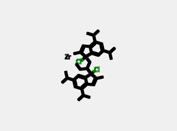 CCC(CC1(Cl)C(C)=Cc2c(C(C)C)cc(C(C)C)cc21)C1(Cl)C(C)=Cc2c(C(C)C)cc(C(C)C)cc21.[Zr]